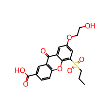 CCCS(=O)(=O)c1cc(OCCO)cc2c(=O)c3cc(C(=O)O)ccc3oc12